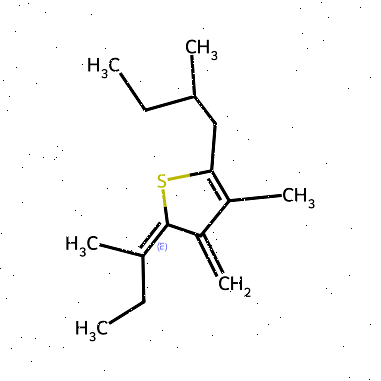 C=c1c(C)c(CC(C)CC)s/c1=C(\C)CC